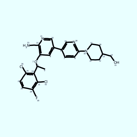 CC(Oc1cc(-c2ccc(N3CCC(CO)CC3)nc2)cnc1N)c1c(Cl)ccc(F)c1Cl